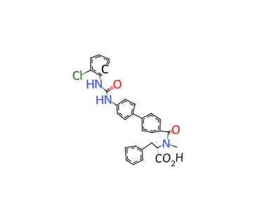 CN(C(=O)c1ccc(-c2ccc(NC(=O)Nc3ccccc3Cl)cc2)cc1)[C@@H](Cc1ccccc1)C(=O)O